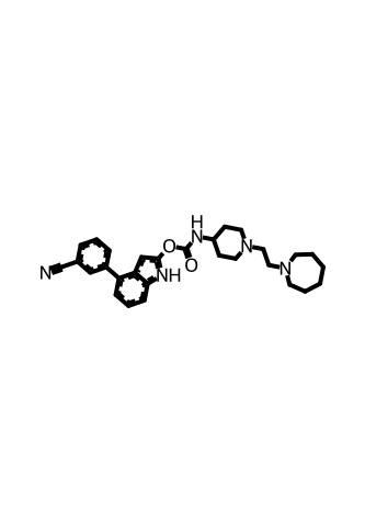 N#Cc1cccc(-c2cccc3[nH]c(OC(=O)NC4CCN(CCN5CCCCCC5)CC4)cc23)c1